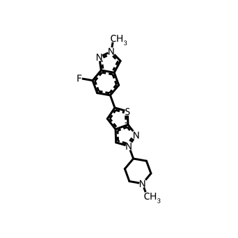 CN1CCC(n2cc3cc(-c4cc(F)c5nn(C)cc5c4)sc3n2)CC1